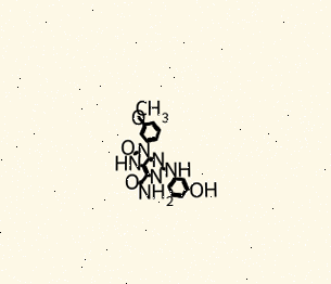 COc1cccc(-n2c(=O)[nH]c3c(C(N)=O)nc(Nc4cccc(O)c4)nc32)c1